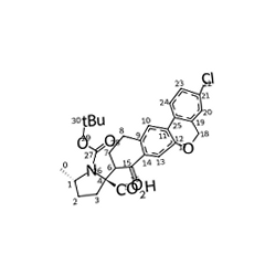 C[C@H]1CC[C@@](C(=O)O)(C2CCc3cc4c(cc3C2=O)OCc2cc(Cl)ccc2-4)N1C(=O)OC(C)(C)C